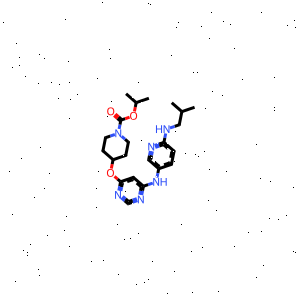 CC(C)CNc1ccc(Nc2cc(OC3CCN(C(=O)OC(C)C)CC3)ncn2)cn1